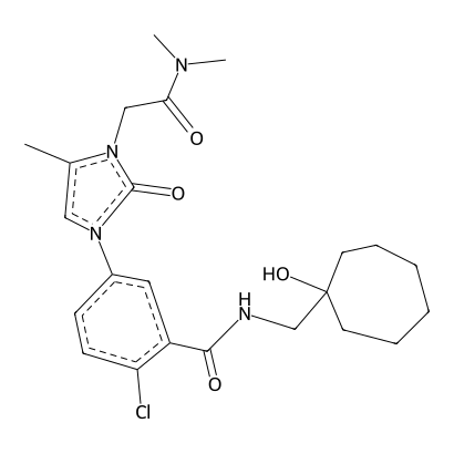 Cc1cn(-c2ccc(Cl)c(C(=O)NCC3(O)CCCCCC3)c2)c(=O)n1CC(=O)N(C)C